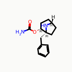 NC(=O)O[C@@H]1CC[C@@H]2CC[C@]1(Cc1ccccc1)N2